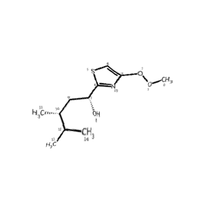 COOc1csc([C@H](O)C[C@@H](C)C(C)C)n1